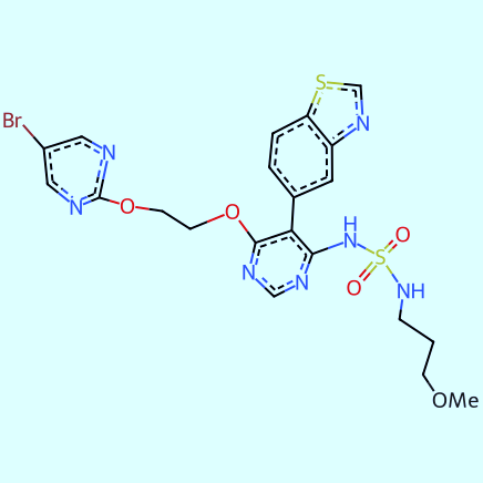 COCCCNS(=O)(=O)Nc1ncnc(OCCOc2ncc(Br)cn2)c1-c1ccc2scnc2c1